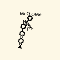 COc1ccc(-c2nc3ccc(C4CCN(C5CCN(C6CC6)CC5)CC4)cc3n2CC(F)F)cc1OC